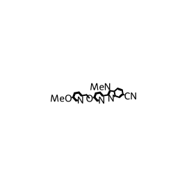 CNC1=C(c2ccc(OCc3ccc(OC)cn3)cn2)N=C2C=C(C#N)C=CC21